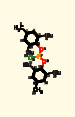 Cc1cc(C(C)(C)C)c(OP(Cl)Oc2c(C(C)(C)C)cc(C)cc2C(C)(C)C)c(C(C)(C)C)c1